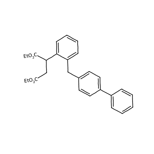 CCOC(=O)CC(C(=O)OCC)c1ccccc1Cc1ccc(-c2ccccc2)cc1